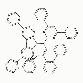 N=C/C(=C\C(c1nc(-c2ccccc2)nc(-c2ccccc2)n1)C1c2ccc(-c3ccccc3)cc2-c2cc(-c3ccccc3)ccc21)c1c(-c2ccccc2)cccc1-c1ccccc1